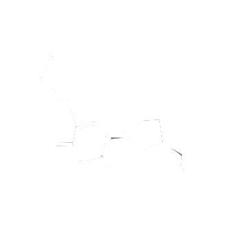 NCC#Cc1cn([C@H]2CC[C@@H](CO)O2)c(=O)[nH]c1=O